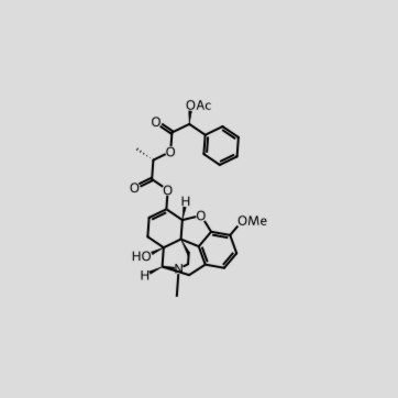 COc1ccc2c3c1O[C@H]1C(OC(=O)[C@H](C)OC(=O)[C@@H](OC(C)=O)c4ccccc4)=CC[C@@]4(O)[C@@H](C2)N(C)CC[C@]314